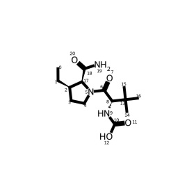 CC[C@@H]1CCN(C(=O)[C@@H](NC(=O)O)C(C)(C)C)[C@@H]1C(N)=O